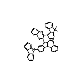 CC1(C)c2ccccc2-c2c(-c3nc4ccccc4nc3-n3c4cc(-n5c6ccccc6c6ccccc65)ccc4c4c5ccccc5ccc43)cccc21